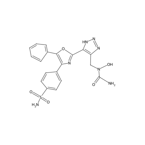 NC(=O)N(O)Cc1nn[nH]c1-c1nc(-c2ccc(S(N)(=O)=O)cc2)c(-c2ccccc2)o1